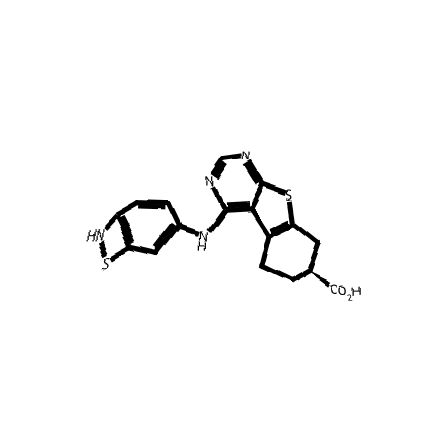 O=C(O)[C@H]1CCc2c(sc3ncnc(Nc4ccc5[nH]sc5c4)c23)C1